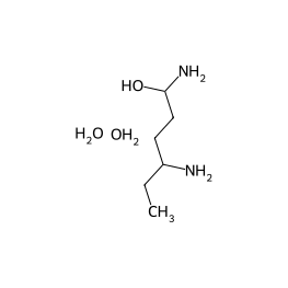 CCC(N)CCC(N)O.O.O